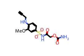 C#CCNc1ccc(S(=O)(=O)NC(=O)COC(N)=O)cc1OC